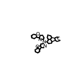 c1ccc2c(c1)-c1cccc3c(N(c4cc5oc6ccccc6c5cn4)c4ccc5oc6ccccc6c5n4)ccc-2c13